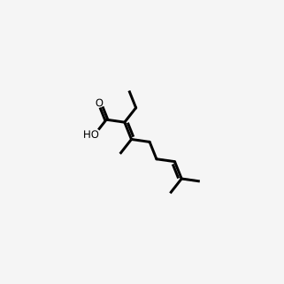 CCC(C(=O)O)=C(C)CCC=C(C)C